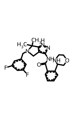 CC1(C)c2[nH]nc(NC(=O)c3ccccc3C3COCCN3)c2CN1Cc1cc(F)cc(F)c1